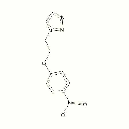 O=[N+]([O-])c1ccc(OCCn2ccnn2)cc1